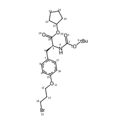 CC(C)(C)OC(=O)N[C@@H](Cc1ccc(OCCCBr)cc1)C(=O)OC1CCCC1